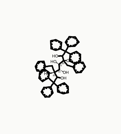 OC(C(c1ccccc1)(c1ccccc1)c1ccccc1)[C@](O)(Cc1ccccc1)[C@@H](O)[C@H](O)[C@@](O)(Cc1ccccc1)C(O)C(c1ccccc1)(c1ccccc1)c1ccccc1